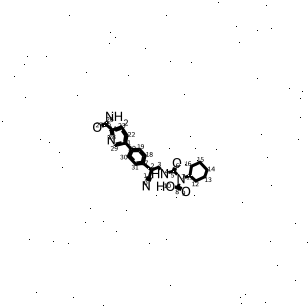 N#CC(CNC(=O)N(C(=O)O)C1CCCCC1)c1ccc(-c2ccc(C(N)=O)nc2)cc1